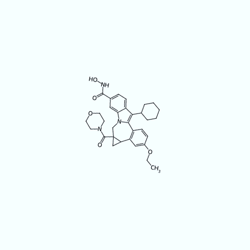 CCOc1ccc2c(c1)C1CC1(C(=O)N1CCOCC1)Cn1c-2c(C2CCCCC2)c2ccc(C(=O)NO)cc21